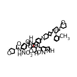 Cc1ccccc1[C@@H]1CN([C@@H]2CCCOC2)CCN1C1CC2(CCN(c3ccc(C(=O)NS(=O)(=O)c4cc5c(c([N+](=O)[O-])c4)N[C@H](C4CCOCC4)CO5)c(N4c5cc6cc[nH]c6nc5O[C@H]5COCC[C@@H]54)c3)CC2)C1